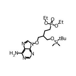 CCOP(=O)(CCC(COn1cnc2c(N)ncnc21)CO[Si](C)(C)C(C)(C)C)OCC